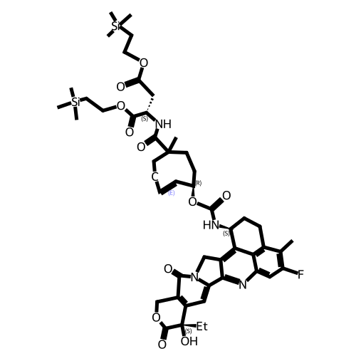 CC[C@@]1(O)C(=O)OCc2c1cc1n(c2=O)Cc2c-1nc1cc(F)c(C)c3c1c2[C@@H](NC(=O)O[C@H]1/C=C/CCC(C)(C(=O)N[C@@H](CC(=O)OCC[Si](C)(C)C)C(=O)OCC[Si](C)(C)C)CC1)CC3